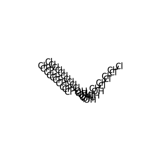 CO.CO.CO.CO.CO.CO.CO.CO.ClCCl.ClCCl.ClCCl.ClCCl.ClCCl.ClCCl.ClCCl.ClCCl.ClCCl.ClCCl.ClCCl.ClCCl.ClCCl.ClCCl